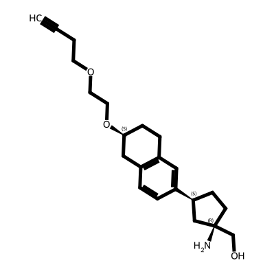 C#CCCOCCO[C@H]1CCc2cc([C@H]3CC[C@](N)(CO)C3)ccc2C1